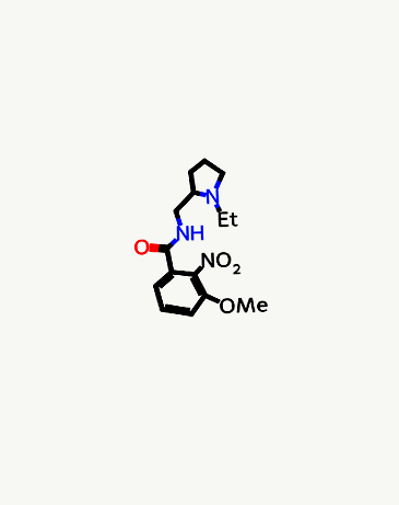 CCN1CCCC1CNC(=O)c1cccc(OC)c1[N+](=O)[O-]